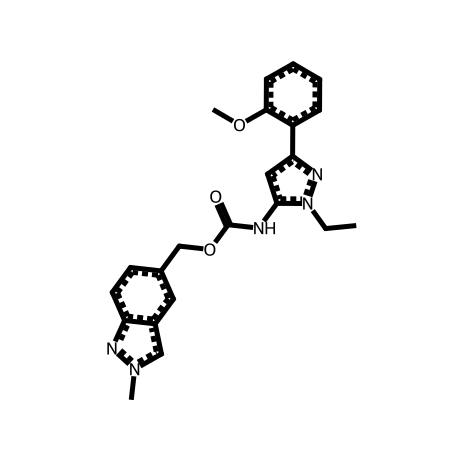 CCn1nc(-c2ccccc2OC)cc1NC(=O)OCc1ccc2nn(C)cc2c1